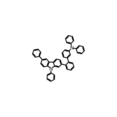 c1ccc(-c2ccc3c(c2)c2ccc(-c4ccccc4-c4cccc(N(c5ccccc5)c5ccccc5)c4)cc2n3-c2ccccc2)cc1